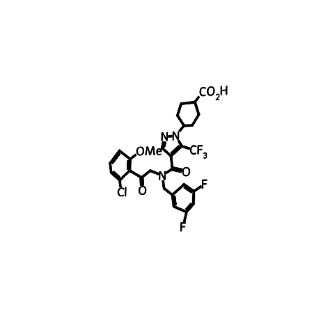 COc1cccc(Cl)c1C(=O)CN(Cc1cc(F)cc(F)c1)C(=O)c1cnn(C2CCC(C(=O)O)CC2)c1C(F)(F)F